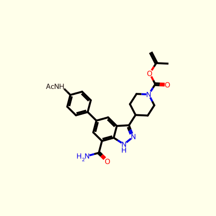 C=C(C)OC(=O)N1CCC(c2n[nH]c3c(C(N)=O)cc(-c4ccc(NC(C)=O)cc4)cc23)CC1